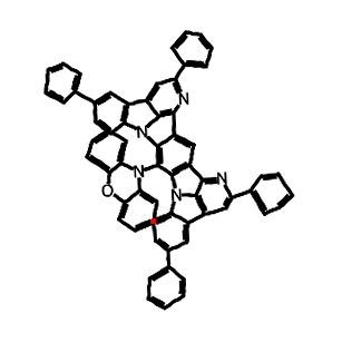 c1ccc(-c2ccc3c(c2)c2cc(-c4ccccc4)nc4c5cc6c7nc(-c8ccccc8)cc8c9cc(-c%10ccccc%10)ccc9n(c6c(N6c9ccccc9Oc9ccccc96)c5n3c24)c87)cc1